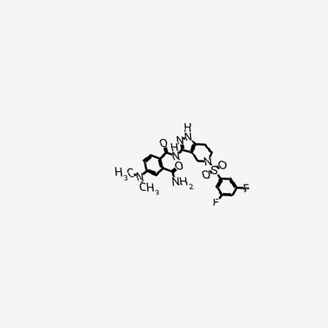 CN(C)c1ccc(C(=O)Nc2n[nH]c3c2CN(S(=O)(=O)c2cc(F)cc(F)c2)CC3)c(C(N)=O)c1